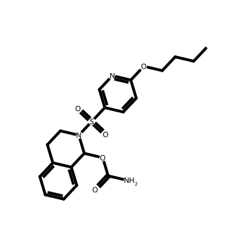 CCCCOc1ccc(S(=O)(=O)N2CCc3ccccc3C2OC(N)=O)cn1